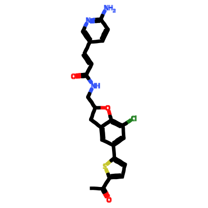 CC(=O)c1ccc(-c2cc(Cl)c3c(c2)CC(CNC(=O)C=Cc2ccc(N)nc2)O3)s1